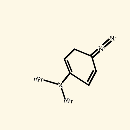 CCCN(CCC)C1=CCC(=[N+]=[N-])C=C1